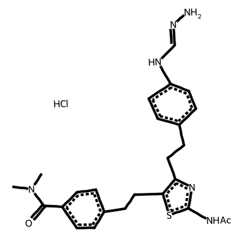 CC(=O)Nc1nc(CCc2ccc(NC=NN)cc2)c(CCc2ccc(C(=O)N(C)C)cc2)s1.Cl